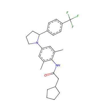 Cc1cc(N2CCCC2c2ccc(C(F)(F)F)cc2)cc(C)c1NC(=O)CC1CCCC1